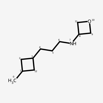 CC1CC(CCCNC2COC2)C1